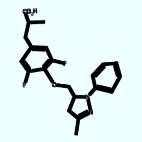 CC1=NN(c2ccccc2)C(COc2c(F)cc(CC(C)C(=O)O)cc2F)C1